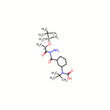 C[C@@H](O[Si](C)(C)C(C)(C)C)C(=O)N(N)C(=O)C1CCCC(N(C(=O)O)C(C)(C)C)C1